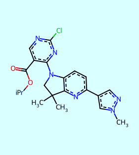 CC(C)OC(=O)c1cnc(Cl)nc1N1CC(C)(C)c2nc(-c3cnn(C)c3)ccc21